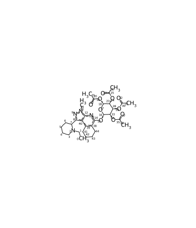 CCN1CCCCC1c1nn(C)c2nc(O[C@H]3O[C@@H](OC(C)=O)[C@@H](OC(C)=O)[C@@H](OC(C)=O)[C@H]3OC(C)=O)c3c(c12)CCCC3